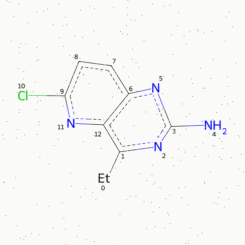 CCc1nc(N)nc2ccc(Cl)nc12